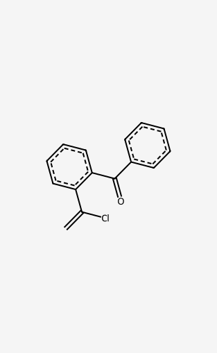 C=C(Cl)c1ccccc1C(=O)c1ccccc1